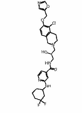 O=C(NCC(O)CN1CCc2c(ccc(OCc3cnco3)c2Cl)C1)c1ccnc(NC2CCCC(F)(F)C2)c1